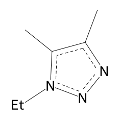 CCn1nnc(C)c1C